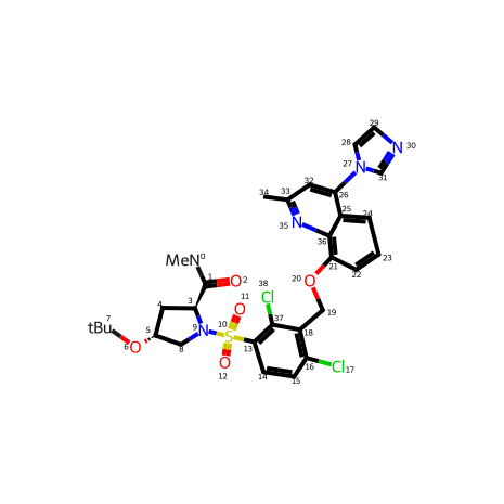 CNC(=O)[C@@H]1C[C@@H](OC(C)(C)C)CN1S(=O)(=O)c1ccc(Cl)c(COc2cccc3c(-n4ccnc4)cc(C)nc23)c1Cl